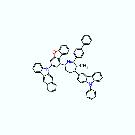 CC1C(c2ccc(-c3ccccc3)cc2)=NC(c2cc(-n3c4ccccc4c4cc5ccccc5cc43)cc3oc4ccccc4c23)CCC1c1ccc2c(c1)c1ccccc1n2-c1ccccc1